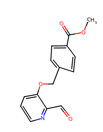 COC(=O)c1ccc(COc2cccnc2C=O)cc1